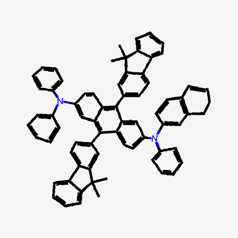 CC1(C)c2ccccc2-c2ccc(-c3c4ccc(N(c5ccccc5)c5ccc6c(c5)CCC=C6)cc4c(-c4ccc5c(c4)C(C)(C)c4ccccc4-5)c4ccc(N(c5ccccc5)c5ccccc5)cc34)cc21